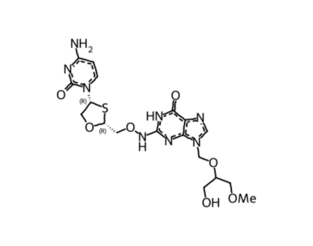 COCC(CO)OCn1cnc2c(=O)[nH]c(NOC[C@@H]3OC[C@H](n4ccc(N)nc4=O)S3)nc21